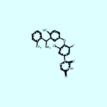 Cc1ccccc1C(N)c1cc(Oc2c(Cl)cc(-n3ncc(=O)[nH]c3=O)cc2Cl)ccc1O